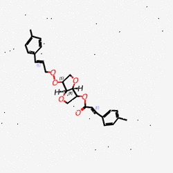 Cc1ccc(/C=C/COO[C@H]2CO[C@@H]3C(OC(=O)/C=C/c4ccc(C)cc4)CO[C@H]23)cc1